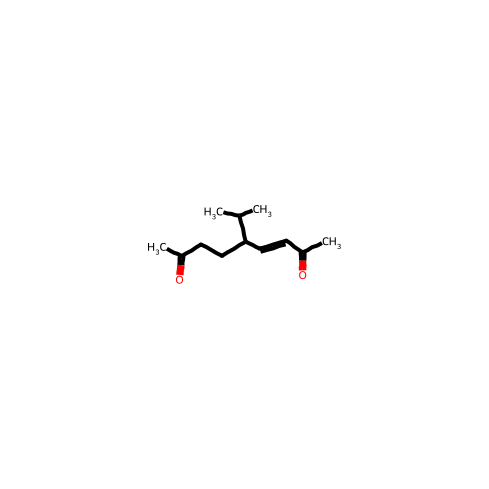 CC(=O)C=CC(CCC(C)=O)C(C)C